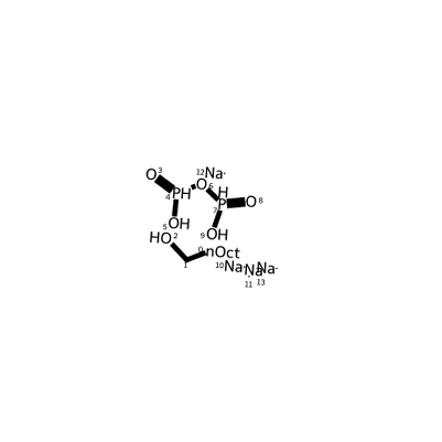 CCCCCCCCCO.O=[PH](O)O[PH](=O)O.[Na].[Na].[Na].[Na]